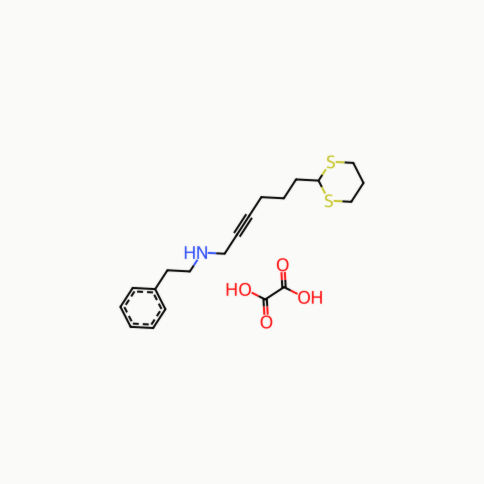 C(#CCNCCc1ccccc1)CCCC1SCCCS1.O=C(O)C(=O)O